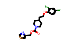 O=C(OCc1cscn1)N1CCC(CCOc2ccc(F)cc2Br)CC1